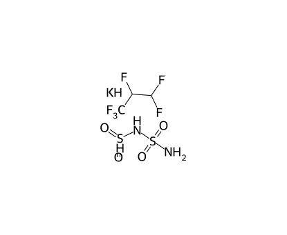 FC(F)C(F)C(F)(F)F.NS(=O)(=O)N[SH](=O)=O.[KH]